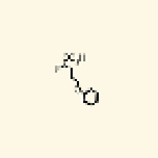 O=C(O)C(F)CCCOc1ccccc1